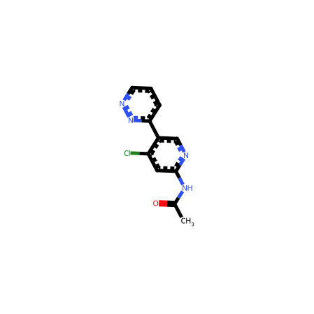 CC(=O)Nc1cc(Cl)c(-c2cccnn2)cn1